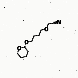 N#CCOCCCCOC1CCCCO1